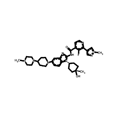 CN1CCN(C2CCN(c3ccc4c(c3)nc(NC(=O)c3ccnc(-c5cnn(C)c5)c3F)n4[C@H]3CC[C@@](C)(O)CC3)CC2)CC1